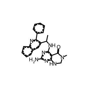 CC(Nc1nc(N)nc2c1C(=O)N(C)CN2)c1cc2ccccc2nc1-c1ccccc1